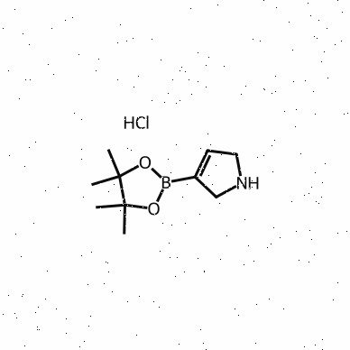 CC1(C)OB(C2=CCNC2)OC1(C)C.Cl